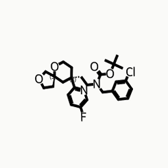 CC(C)(C)OC(=O)N(CC[C@@]1(c2ccc(F)cn2)CCO[C@]2(CCOC2)C1)Cc1cccc(Cl)c1